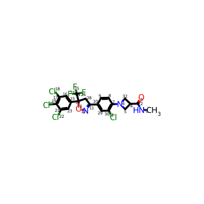 CNC(=O)C1CN(c2ccc(C3=NOC(c4cc(Cl)c(Cl)c(Cl)c4)(C(F)(F)F)C3)cc2Cl)C1